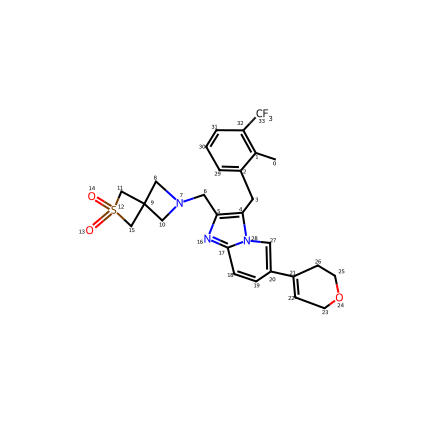 Cc1c(Cc2c(CN3CC4(C3)CS(=O)(=O)C4)nc3ccc(C4=CCOCC4)cn23)cccc1C(F)(F)F